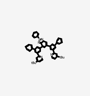 CC(C)(C)c1ccnc(-c2cc(-c3ccccc3)cc(-c3cc(-c4cc(-c5ccccc5)cc(-c5cc(C(C)(C)C)ccn5)c4)c4nn(-c5ccccc5)nc4c3)c2)c1